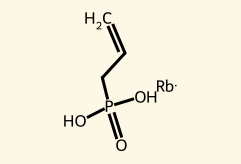 C=CCP(=O)(O)O.[Rb]